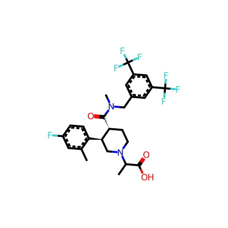 Cc1cc(F)ccc1[C@@H]1CN(C(C)C(=O)O)CC[C@H]1C(=O)N(C)Cc1cc(C(F)(F)F)cc(C(F)(F)F)c1